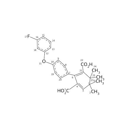 CC1(C)C=C(C(=O)O)C(c2ccc(Oc3cccc(F)c3)cc2)=C(C(=O)O)C1(C)C